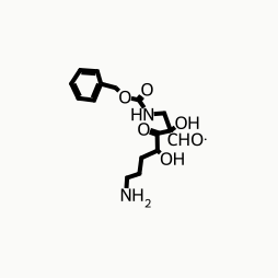 NCCCC(O)C(=O)C(O)([C]=O)CNC(=O)OCc1ccccc1